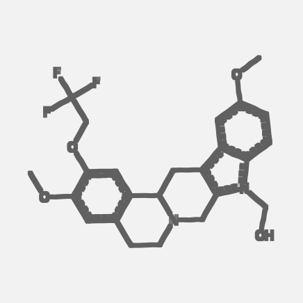 COc1ccc2c(c1)c1c(n2CO)CN2CCc3cc(OC)c(OCC(F)(F)F)cc3C2C1